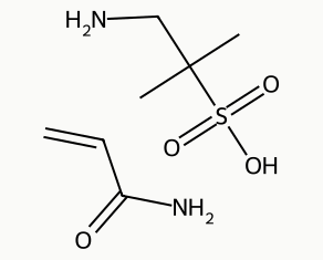 C=CC(N)=O.CC(C)(CN)S(=O)(=O)O